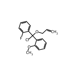 C=CCOC(Cl)(c1ccccc1F)c1ccccc1OC